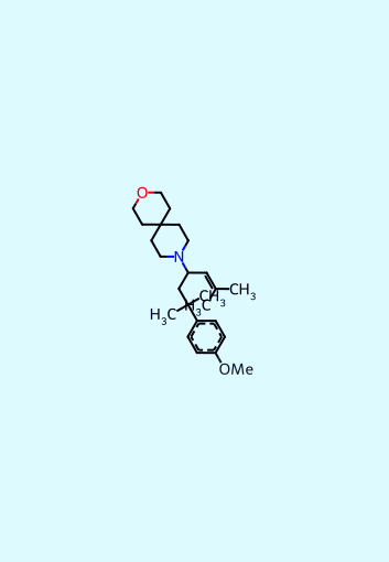 COc1ccc(C(C)(C)CC(C=C(C)C)N2CCC3(CCOCC3)CC2)cc1